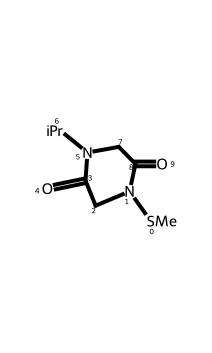 CSN1CC(=O)N(C(C)C)CC1=O